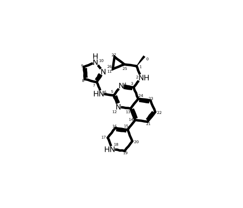 C[C@@H](Nc1nc(Nc2cc[nH]n2)nc2c(C3=CCNCC3)cccc12)C1CC1